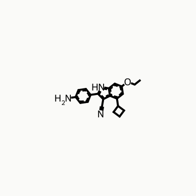 CCOc1cc(C2CCC2)c2c(C#N)c(-c3ccc(N)cc3)[nH]c2c1